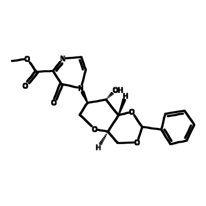 COC(=O)c1nccn([C@@H]2CO[C@@H]3COC(c4ccccc4)O[C@H]3[C@H]2O)c1=O